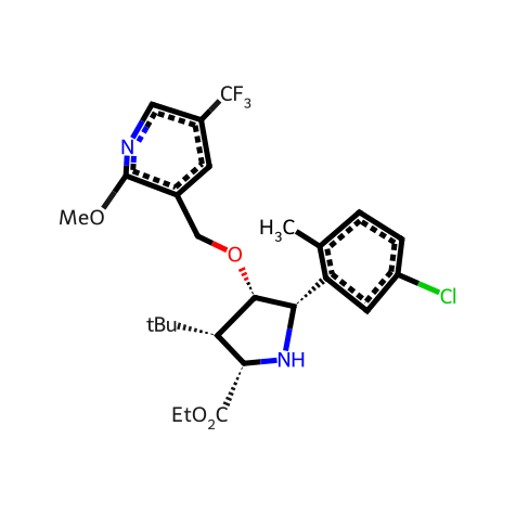 CCOC(=O)[C@H]1N[C@@H](c2cc(Cl)ccc2C)[C@@H](OCc2cc(C(F)(F)F)cnc2OC)[C@H]1C(C)(C)C